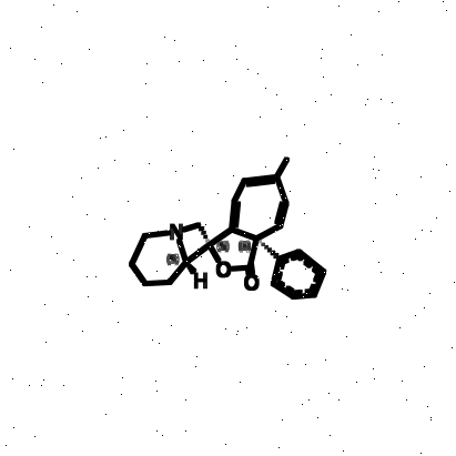 CC1=CC=C2[C@@](c3ccccc3)(C=C1)C(=O)O[C@]21CN2CCCC[C@H]21